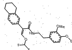 CCOc1ccc(CCNC(=O)C(=COC(F)F)c2ccc3c(c2)CCCC3)cc1OC